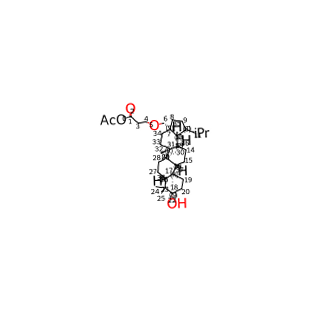 CC(=O)OC(=O)CCOC[C@]12CC[C@@H](C(C)C)[C@@H]1[C@H]1CC[C@@H]3[C@@]4(C)CC[C@H](O)C(C)(C)[C@@H]4CC[C@@]3(C)[C@]1(C)CC2